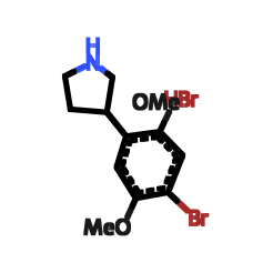 Br.COc1cc(C2CCNC2)c(OC)cc1Br